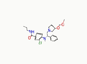 CCCNC(=O)c1ccc(N(C)C(CN2CCC(OCOC)C2)c2ccccc2)c(Cl)c1